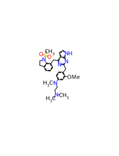 COc1cc(N(C)CCN(C)C)ccc1Cc1nc(Cc2cccc3c2N(S(C)(=O)=O)CC3)c2cc[nH]c2n1